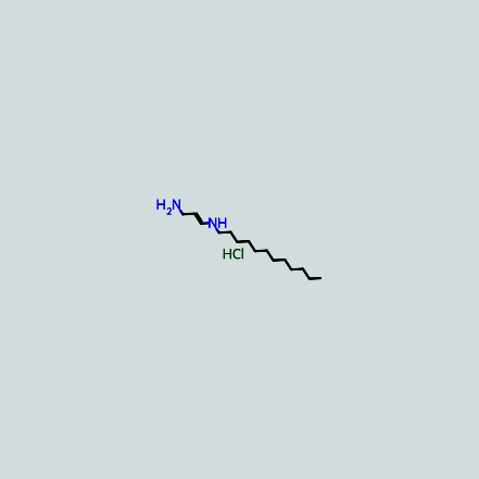 CCCCCCCCCCCCNC=CCN.Cl